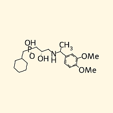 COc1ccc(C(C)NC[C@H](O)CP(=O)(O)CC2CCCCC2)cc1OC